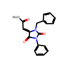 COC(=O)C=C1C(=O)N(c2ccccc2)C(=O)N1Cc1ccccc1